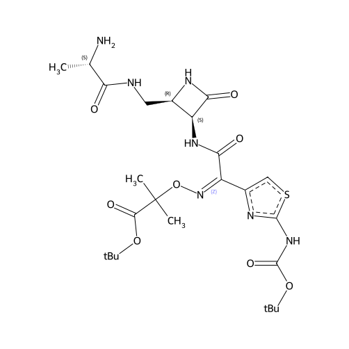 C[C@H](N)C(=O)NC[C@H]1NC(=O)[C@H]1NC(=O)/C(=N\OC(C)(C)C(=O)OC(C)(C)C)c1csc(NC(=O)OC(C)(C)C)n1